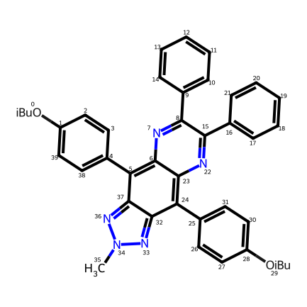 CC(C)COc1ccc(-c2c3nc(-c4ccccc4)c(-c4ccccc4)nc3c(-c3ccc(OCC(C)C)cc3)c3nn(C)nc23)cc1